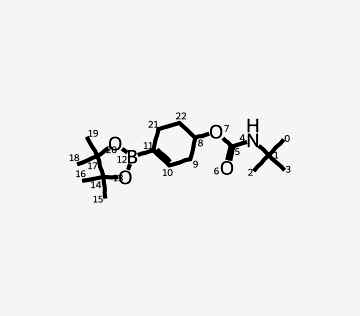 CC(C)(C)NC(=O)OC1CC=C(B2OC(C)(C)C(C)(C)O2)CC1